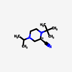 CC(C)N1CCN(C(C)(C)C)[C@@H](C#N)C1